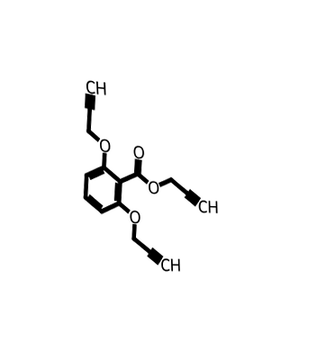 C#CCOC(=O)c1c(OCC#C)cccc1OCC#C